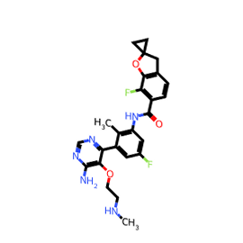 CNCCOc1c(N)ncnc1-c1cc(F)cc(NC(=O)c2ccc3c(c2F)OC2(CC2)C3)c1C